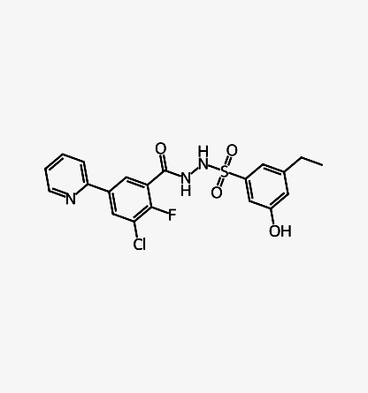 CCc1cc(O)cc(S(=O)(=O)NNC(=O)c2cc(-c3ccccn3)cc(Cl)c2F)c1